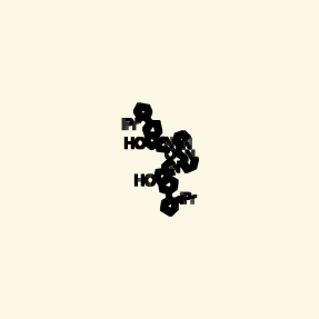 CC(C)c1ccccc1-c1ccc2c(c1)C(O)CC21CCN(c2cccnc2C(=O)c2ncccc2N2CCC3(CC(O)c4cc(-c5ccccc5C(C)C)ccc43)C2)C1